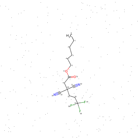 CCCCCCOC(=O)CC(C#N)(C#N)CCC(F)(F)F